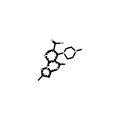 Cc1cc2nc(C)c3c(N4CCN(C)CC4)c(C(=O)O)cnc3n2n1